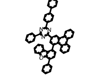 c1ccc(-c2ccc(-c3nc(-c4ccccc4)nc(-c4cc(-c5ccc(-c6ccccc6)c6oc7ccccc7c56)c5c6ccccc6c6ccccc6c5c4)n3)cc2)cc1